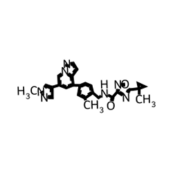 Cc1cc(-c2cc(-c3cnn(C)c3)cn3nccc23)ccc1CNC(=O)c1noc(C2(C)CC2)n1